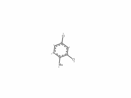 CCC(C)c1ncc(Cl)cc1Cl